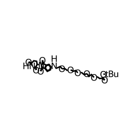 CC(C)(C)OC(=O)CCOCCOCCOCCOCCOCCNc1ccc2c(c1)C(=O)N(C1CCC(=O)NC1=O)C2=O